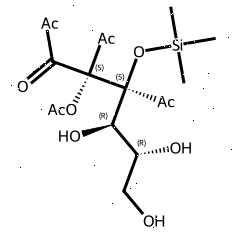 CC(=O)O[C@@](C(C)=O)(C(=O)C(C)=O)[C@](O[Si](C)(C)C)(C(C)=O)[C@H](O)[C@H](O)CO